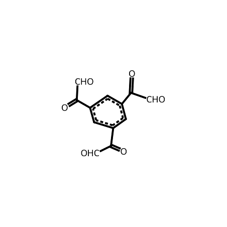 O=CC(=O)c1cc(C(=O)C=O)cc(C(=O)C=O)c1